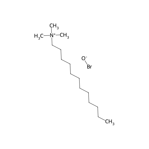 CCCCCCCCCCCC[N+](C)(C)C.[O-]Br